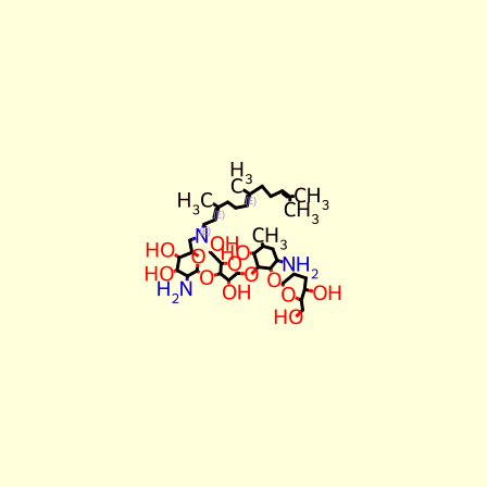 CC(C)=CCC/C(C)=C/CC/C(C)=C/C=N/CC1OC(OC2C(CO)OC(OC3C(O)C(C)CC(N)C3OC3CCC(O)C(CO)O3)C2O)C(N)C(O)C1O